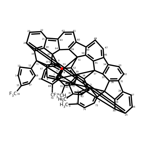 Cc1ccc(C23C4=C5C6C7=C4C4(c8ccc(C(F)(F)F)cc8)c8c9c%10ccc8=C8C=CC(=C2C84)c2ccc4c(c23)C5(c2ccc(C)cc2)c2c-4ccc3c2C6(c2ccc(C)cc2)C2=C3C=CC=%10C2C79c2ccc(C(F)(F)F)cc2)cc1